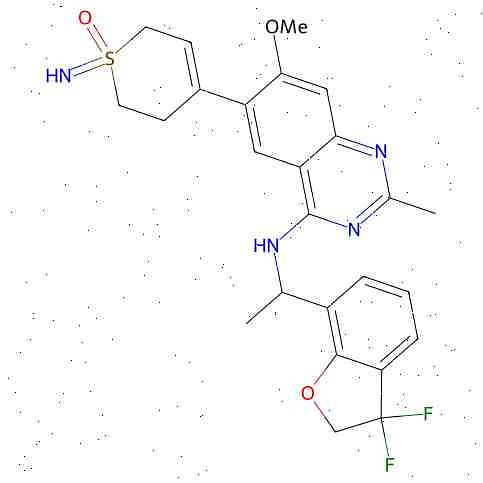 COc1cc2nc(C)nc(NC(C)c3cccc4c3OCC4(F)F)c2cc1C1=CCS(=N)(=O)CC1